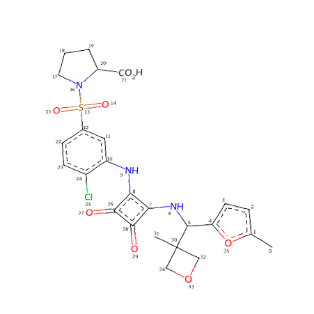 Cc1ccc(C(Nc2c(Nc3cc(S(=O)(=O)N4CCCC4C(=O)O)ccc3Cl)c(=O)c2=O)C2(C)COC2)o1